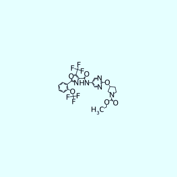 CCOC(=O)N1CCC(Oc2ncc(NC(=O)c3nc(-c4ccccc4OC(F)(F)F)oc3C(F)(F)F)cn2)C1